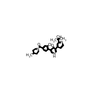 CC1CCN(C(=O)c2ccc(-c3c[nH]cc(-c4ccnc(C(C)(C)C)c4)c3=O)c(Cl)c2)CC1